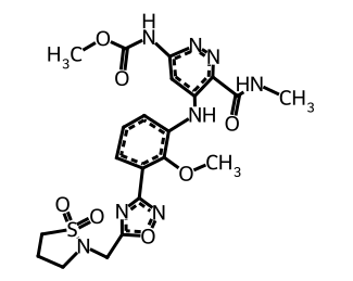 CNC(=O)c1nnc(NC(=O)OC)cc1Nc1cccc(-c2noc(CN3CCCS3(=O)=O)n2)c1OC